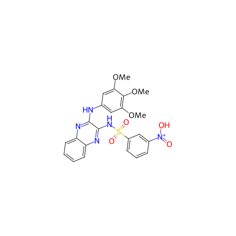 COc1cc(Nc2nc3ccccc3nc2NS(=O)(=O)c2cccc([N+](=O)O)c2)cc(OC)c1OC